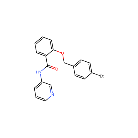 CCc1ccc(COc2ccccc2C(=O)Nc2cccnc2)cc1